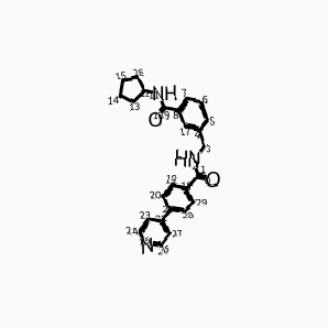 O=C(NCc1cccc(C(=O)NC2CCCC2)c1)c1ccc(-c2ccncc2)cc1